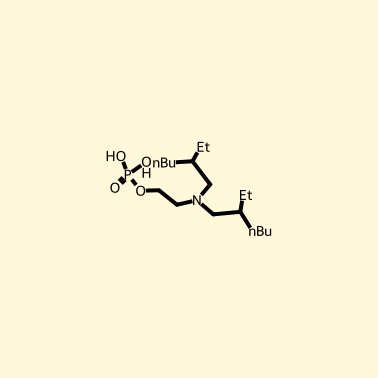 CCCCC(CC)CN(CCOP(=O)(O)O)CC(CC)CCCC